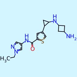 CCn1cc(NC(=O)c2cc(C3CC3NC3CC(N)C3)cs2)cn1